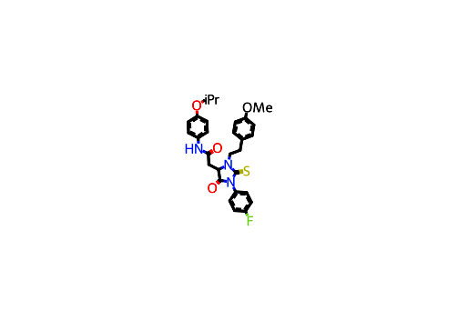 COc1ccc(CCN2C(=S)N(c3ccc(F)cc3)C(=O)C2CC(=O)Nc2ccc(OC(C)C)cc2)cc1